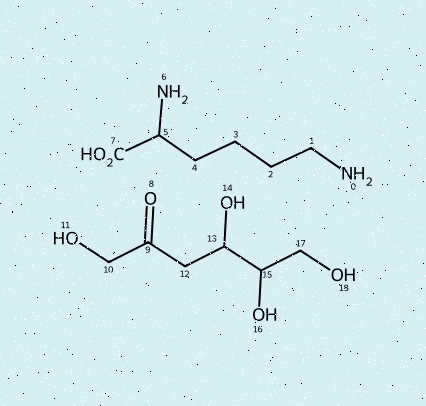 NCCCCC(N)C(=O)O.O=C(CO)CC(O)C(O)CO